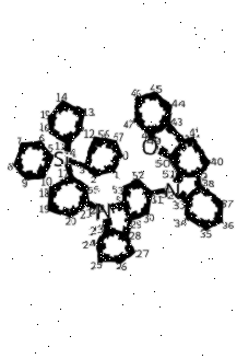 c1ccc([Si](c2ccccc2)(c2ccccc2)c2cccc(-n3c4ccccc4c4cc(-n5c6ccccc6c6ccc7c8ccccc8oc7c65)ccc43)c2)cc1